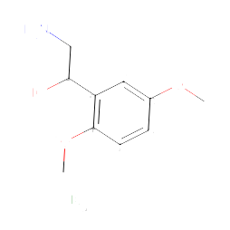 COc1ccc(OC)c(C(O)CN)c1.Cl